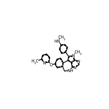 CNc1ccc(-c2c3c4c(ncnc4n2C)NCc2cc(Oc4cccc(C)n4)ccc2-3)cc1